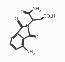 NC(=O)C(CC(=O)O)N1C(=O)c2cccc(N)c2C1=O